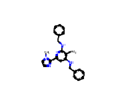 Cn1ccnc1-c1cc(NCc2ccccc2)c([N+](=O)[O-])c(NCc2ccccc2)n1